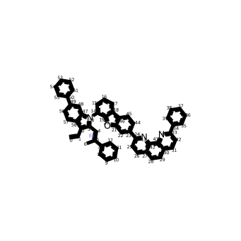 C=Cc1c(/C=C(\C)c2ccccc2)n(-c2cccc3c2oc2cc(-c4ccc5ccc6ccc(-c7ccccc7)nc6c5n4)ccc23)c2cc(-c3ccccc3)ccc12